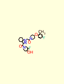 Cc1cc(F)ccc1OC1CCN(C(=O)Cn2nc(C(=O)N3CC[C@H](O)[C@H](F)C3)c3c2CCCC3)CC1